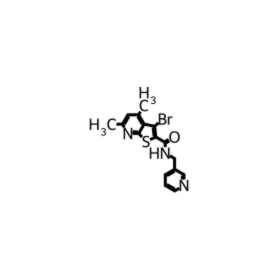 Cc1cc(C)c2c(Br)c(C(=O)NCc3cccnc3)sc2n1